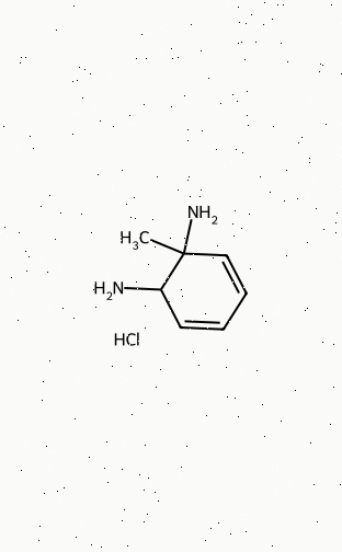 CC1(N)C=CC=CC1N.Cl